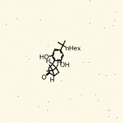 CCCCCCC(C)(C)c1cc(O)c([C@H]2CC(=O)[C@H]3C[C@@H]2C3(C)C)c(O)c1